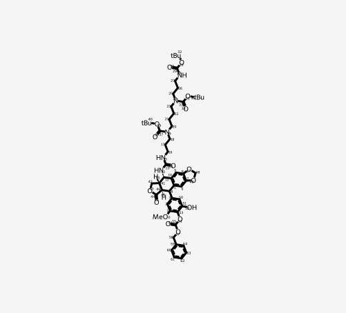 COc1cc(C2c3cc4c(cc3[C@@H](NC(=O)NCCCN(CCCCN(CCCNC(=O)OC(C)(C)C)C(=O)OC(C)(C)C)C(=O)OC(C)(C)C)[C@H]3COC(=O)[C@H]23)OCO4)cc(O)c1OC(=O)OCc1ccccc1